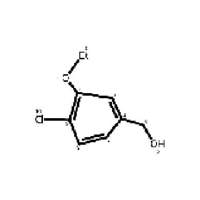 CCOc1cc(CO)ccc1Cl